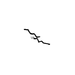 CCCCCC.CCCCCC.[LiH]